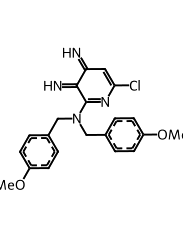 COc1ccc(CN(Cc2ccc(OC)cc2)C2=NC(Cl)=CC(=N)C2=N)cc1